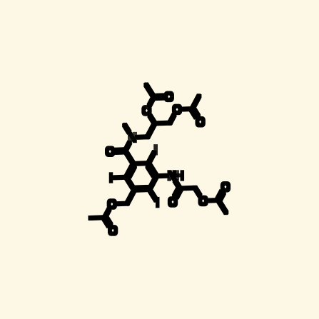 CC(=O)OCC(=O)Nc1c(I)c(COC(C)=O)c(I)c(C(=O)N(C)CC(COC(C)=O)OC(C)=O)c1I